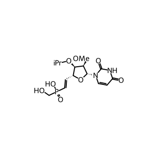 CO[C@@H]1[C@H](OC(C)C)[C@@H](/C=C/P(=O)(O)CO)O[C@H]1n1ccc(=O)[nH]c1=O